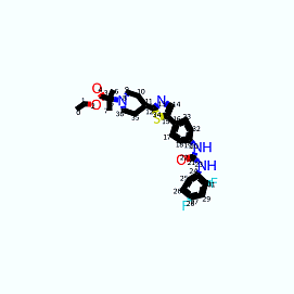 CCOC(=O)C(C)(C)N1CCC(c2ncc(-c3ccc(NC(=O)Nc4ccc(F)cc4F)cc3)s2)CC1